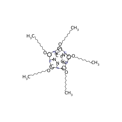 [C-]#[N+]/C1=C\c2cc(OCCCCCCCCCC)cc(c2)/C(C#N)=C/c2cc(OCCCCCCCCCC)cc(c2)/C(C#N)=C/c2cc(OCCCCCCCCCC)cc(c2)/C([N+]#[C-])=C/c2cc(OCCCCCCCCCC)cc(c2)/C([N+]#[C-])=C/c2cc(OCCCCCCCCCC)cc1c2